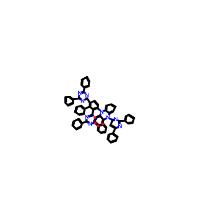 c1ccc(-c2cc(N3c4ccccc4N(c4ccc(-c5nc(-c6ccccc6)nc(-c6ccccc6)n5)c(-c5ccccc5)c4-c4nc(-c5ccccc5)nc(-c5ccccc5)n4)c4ccccc43)nc(-c3ccccc3)n2)cc1